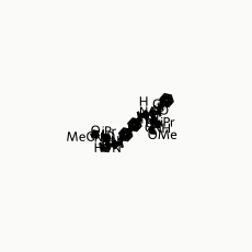 COC(=O)NC(C(=O)N1CN(S(=O)(=O)c2ccccc2)C[C@H]1c1nc(-c2ccc(-c3ccc(-c4cnc([C@@H]5CCCN5C(=O)[C@@H](NC(=O)OC)C(C)C)[nH]4)cc3)cc2)c[nH]1)C(C)C